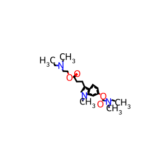 CCN(CC)CCOC(=O)CCc1cn(C)c2cc(OC(=O)N(C)CC)ccc12